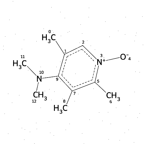 Cc1c[n+]([O-])c(C)c(C)c1N(C)C